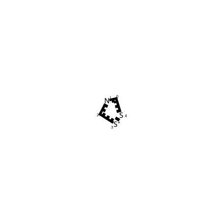 c1nc[s+]s1